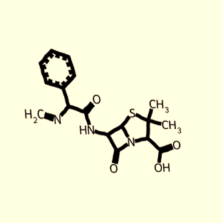 C=NC(C(=O)NC1C(=O)N2C1SC(C)(C)C2C(=O)O)c1ccccc1